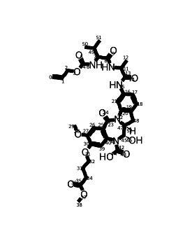 C=CCOC(=O)NC(C(=O)NC(C)C(=O)Nc1ccc2c(c1)N1C(=O)c3cc(OC)c(OCCCC(=O)OC)cc3N(C(=O)O)[C@@H](O)[C@@H]1C2)C(C)C